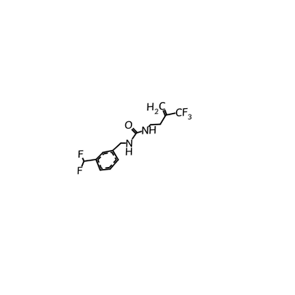 C=C(CCNC(=O)NCc1cccc(C(F)F)c1)C(F)(F)F